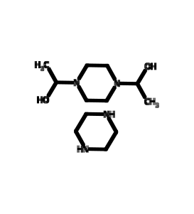 C1CNCCN1.CC(O)N1CCN(C(C)O)CC1